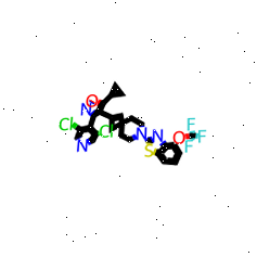 FC(F)(F)Oc1cccc2sc(N3CCC4(C=C(c5c(-c6c(Cl)cncc6Cl)noc5C5CC5)C4)CC3)nc12